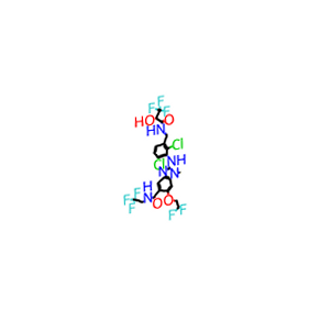 Cn1c(Nc2c(Cl)ccc(CNC(=O)C(O)C(F)(F)F)c2Cl)nc2cc(C(=O)NCC(F)(F)F)c(OCC(F)F)cc21